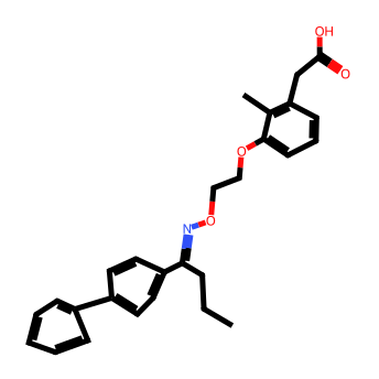 CCC/C(=N\OCCOc1cccc(CC(=O)O)c1C)c1ccc(-c2ccccc2)cc1